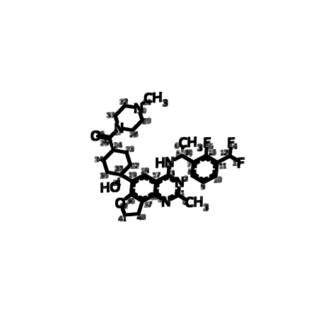 Cc1nc(N[C@H](C)c2cccc(C(F)F)c2F)c2cc([C@]3(O)CC[C@H](C(=O)N4CCN(C)CC4)CC3)c3c(c2n1)CCO3